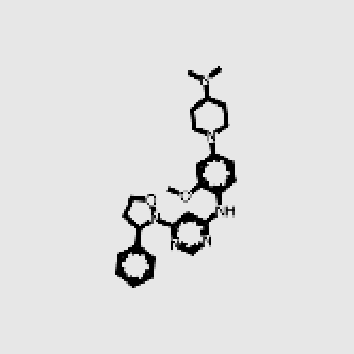 COc1cc(N2CCC(N(C)C)CC2)ccc1Nc1cc(N2OCCC2c2ccccc2)ncn1